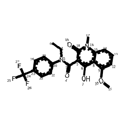 CCN(C(=O)c1c(O)c2c(OC)cccc2n(C)c1=O)c1ccc(C(F)(F)F)cc1